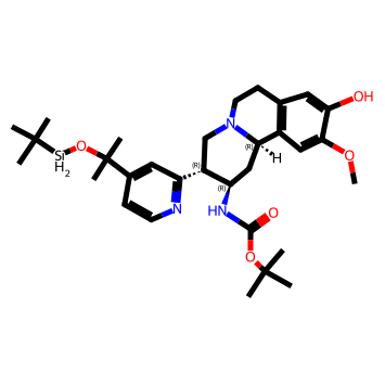 COc1cc2c(cc1O)CCN1C[C@@H](c3cc(C(C)(C)O[SiH2]C(C)(C)C)ccn3)[C@H](NC(=O)OC(C)(C)C)C[C@H]21